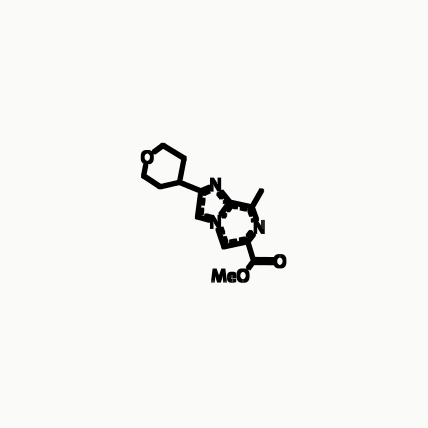 COC(=O)c1cn2cc(C3CCOCC3)nc2c(C)n1